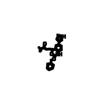 CN(C)C(=O)CCSc1cc(-c2cn[nH]c2)ccc1NC(=O)OCc1ccccc1